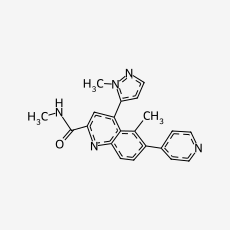 CNC(=O)c1cc(-c2ccnn2C)c2c(C)c(-c3ccncc3)ccc2n1